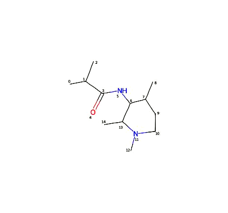 CC(C)C(=O)NC1C(C)CCN(C)C1C